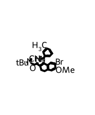 COc1cc2c(cc1Br)-c1c(c(C(=O)N(C)C(C)(C)C)nn1-c1cccc(C)c1)CC2